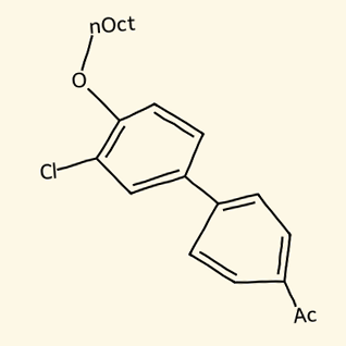 CCCCCCCCOc1ccc(-c2ccc(C(C)=O)cc2)cc1Cl